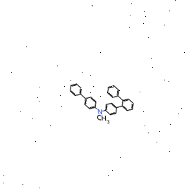 CN(c1ccc(-c2ccccc2)cc1)c1ccc(-c2ccccc2-c2ccccc2)cc1